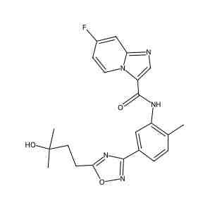 Cc1ccc(-c2noc(CCC(C)(C)O)n2)cc1NC(=O)c1cnc2cc(F)ccn12